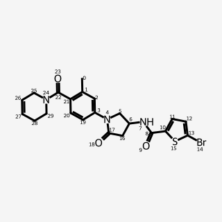 Cc1cc(N2CC(NC(=O)c3ccc(Br)s3)CC2=O)ccc1C(=O)N1CC=CCC1